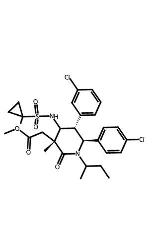 CCC(C)N1C(=O)[C@](C)(CC(=O)OC)C(NS(=O)(=O)C2(C)CC2)[C@H](c2cccc(Cl)c2)[C@H]1c1ccc(Cl)cc1